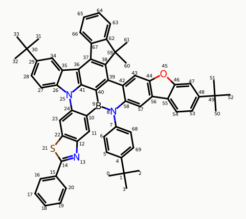 CC(C)(C)c1ccc(N2B3c4cc5nc(-c6ccccc6)sc5cc4-n4c5ccc(C(C)(C)C)cc5c5c6c(c(c3c54)-c3cc4oc5cc(C(C)(C)C)ccc5c4cc32)C(C)(C)c2ccccc2-6)cc1